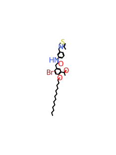 CCCCCCCCCCCCCCOc1ccc(CC(=O)Nc2cccc(C[n+]3cscc3C)c2)cc1C(C)=O.[Br-]